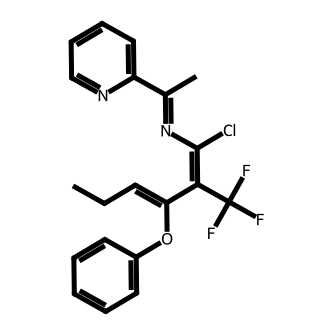 CC/C=C(Oc1ccccc1)/C(=C(Cl)\N=C(/C)c1ccccn1)C(F)(F)F